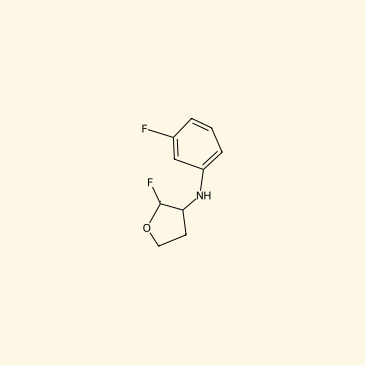 F[C]1OCCC1Nc1cccc(F)c1